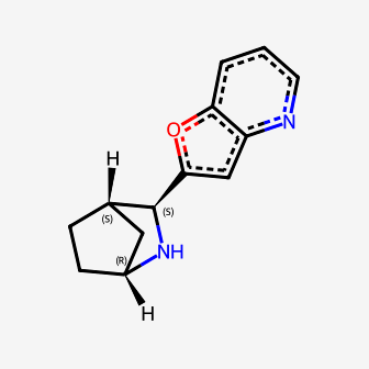 c1cnc2cc([C@H]3N[C@@H]4CC[C@H]3C4)oc2c1